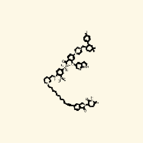 CC1(C)CCC(CN2CCN(c3ccc(C(=O)NS(=O)(=O)c4ccc(NCC5CCCN(CCCCCCCCCC#Cc6ccc7c(c6)CN(C6CCC(=O)NC6=O)C7=O)C5)c([N+](=O)[O-])c4)c(Oc4cnc5[nH]ccc5c4)c3)CC2)=C(c2ccc(Cl)cc2)C1